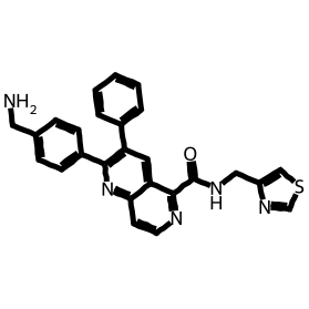 NCc1ccc(-c2nc3ccnc(C(=O)NCc4cscn4)c3cc2-c2ccccc2)cc1